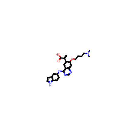 C=C(C(=O)O)c1cc2c(Nc3ccc4[nH]ccc4c3)ncnc2cc1OCCCCN(C)C